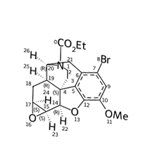 CCOC(=O)N1CC[C@]23c4c5c(Br)cc(OC)c4O[C@H]2[C@H]2O[C@H]2C[C@H]3[C@H]1C5